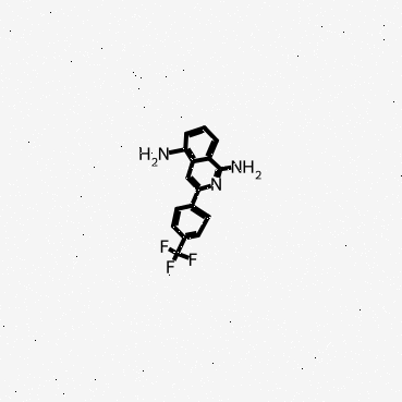 Nc1cccc2c(N)nc(-c3ccc(C(F)(F)F)cc3)cc12